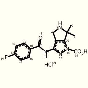 CC1(C)NCc2c(NC(=O)c3ccc(F)cc3)nn(C(=O)O)c21.Cl